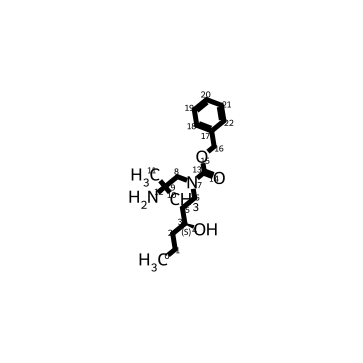 CCC[C@H](O)CCN(CC(C)(C)N)C(=O)OCc1ccccc1